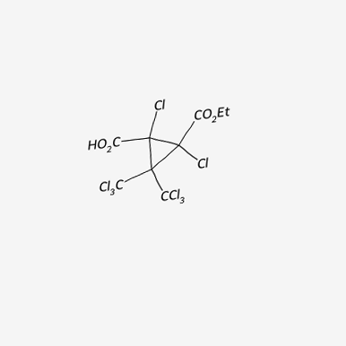 CCOC(=O)C1(Cl)C(Cl)(C(=O)O)C1(C(Cl)(Cl)Cl)C(Cl)(Cl)Cl